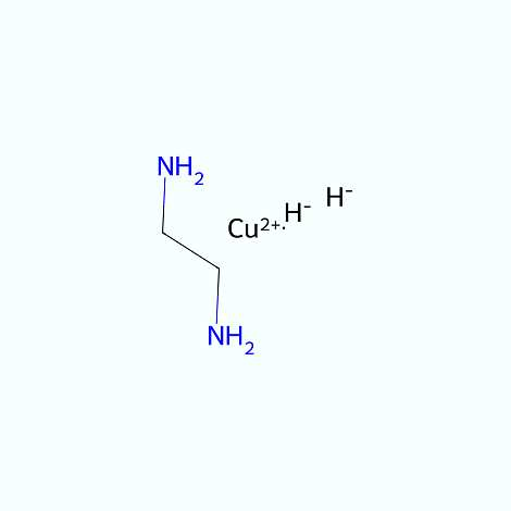 NCCN.[Cu+2].[H-].[H-]